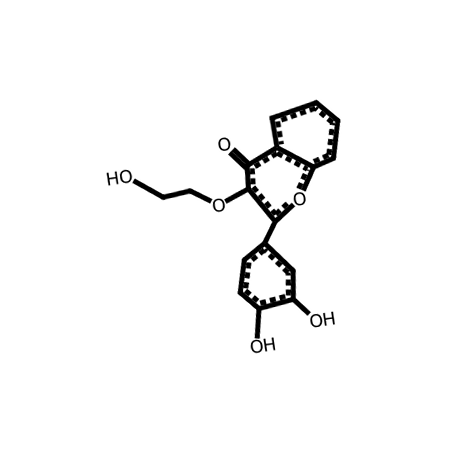 O=c1c(OCCO)c(-c2ccc(O)c(O)c2)oc2ccccc12